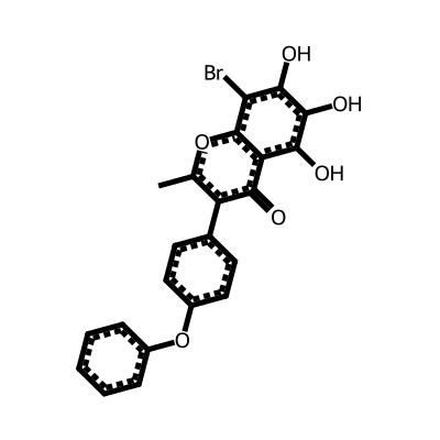 Cc1oc2c(Br)c(O)c(O)c(O)c2c(=O)c1-c1ccc(Oc2ccccc2)cc1